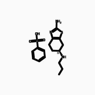 CCCN[C@H]1CCc2nc(N)sc2C1.O=S(=O)(O)c1ccccc1